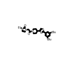 CCn1ccn(CC(=O)N2CCC(c3csc(-c4cc(C(C)(C)C)cc(C(C)(C)C)c4)n3)CC2)c1=O